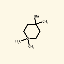 CC(C)(C)C1(C)CC[Si](C)(C)CC1